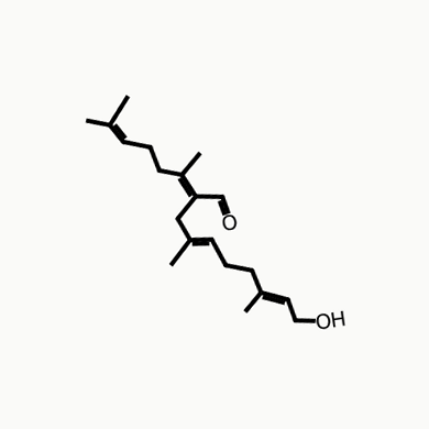 CC(C)=CCC/C(C)=C(/C=O)CC(C)=CCC/C(C)=C/CO